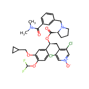 CN(C)C(=O)c1cccc(CN2CCC[C@H]2C(=O)O[C@@H](Cc2c(Cl)c[n+]([O-])cc2Cl)c2ccc(OC(F)F)c(OCC3CC3)c2)c1